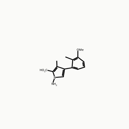 COc1cccc(-c2cn(N)c(C(=O)O)c2C)c1C